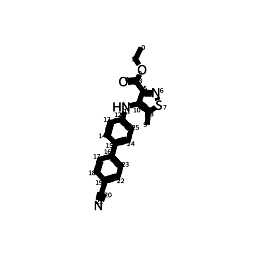 CCOC(=O)c1nsc(C)c1Nc1ccc(-c2ccc(C#N)cc2)cc1